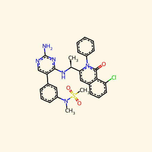 C[C@H](Nc1nc(N)ncc1-c1cccc(N(C)S(C)(=O)=O)c1)c1cc2cccc(Cl)c2c(=O)n1-c1ccccc1